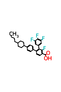 CCCCC1CCC(c2ccc(-c3ccc(C(=O)O)c(F)c3-c3cc(F)c(F)c(F)c3)cc2)CC1